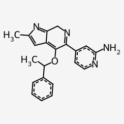 CC1=CC2=C(OC(C)c3ccccc3)C(c3ccnc(N)c3)=NCC2=N1